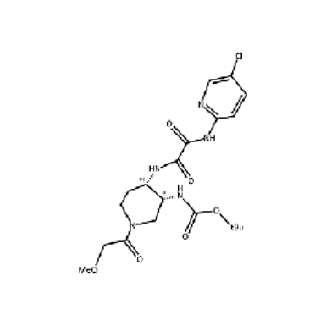 COCC(=O)N1CC[C@H](NC(=O)C(=O)Nc2ccc(Cl)cn2)[C@H](NC(=O)OC(C)(C)C)C1